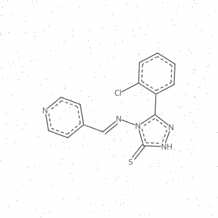 S=c1[nH]nc(-c2ccccc2Cl)n1/N=C/c1ccncc1